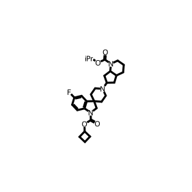 CC(C)OC(=O)N1CCCC2CC(N3CCC4(CC3)CN(C(=O)OC3CCC3)c3ccc(F)cc34)CC21